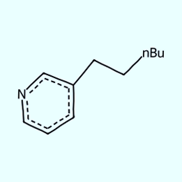 CCCCCCc1cccnc1